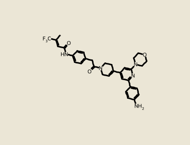 C/C(=C\C(=O)Nc1ccc(CC(=O)N2CC=C(c3cc(-c4ccc(N)cc4)nc(N4CCOCC4)c3)CC2)cc1)C(F)(F)F